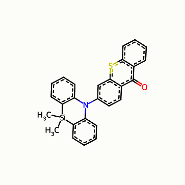 C[Si]1(C)c2ccccc2N(c2ccc3c(=O)c4ccccc4sc3c2)c2ccccc21